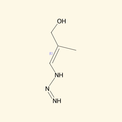 C/C(=C\NN=N)CO